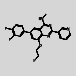 CNc1nc(-c2cccnc2)nc2c(OCCF)cc(-c3ccc(F)c(F)c3)cc12